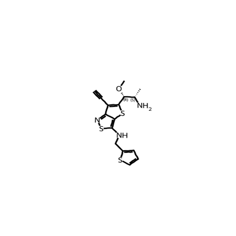 C#Cc1c([C@H](OC)[C@H](C)N)sc2c(NCc3cccs3)snc12